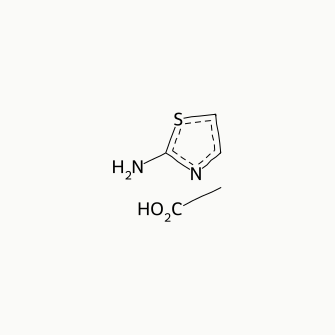 CC(=O)O.Nc1nccs1